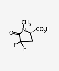 CN1C(=O)C(F)(F)C[C@H]1C(=O)O